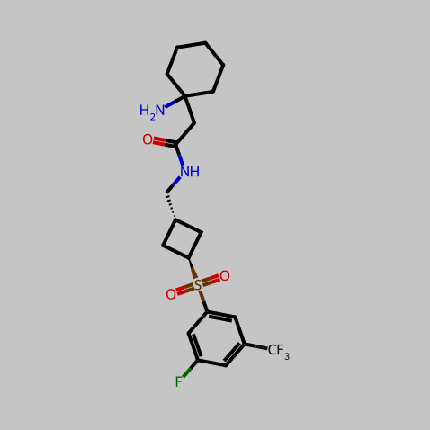 NC1(CC(=O)NC[C@H]2C[C@H](S(=O)(=O)c3cc(F)cc(C(F)(F)F)c3)C2)CCCCC1